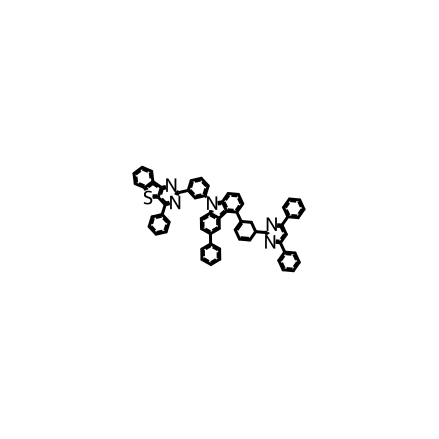 C1=CC(c2nc(-c3ccccc3)cc(-c3ccccc3)n2)CC(c2cccc3c2c2cc(-c4ccccc4)ccc2n3-c2cccc(-c3nc(-c4ccccc4)c4sc5ccccc5c4n3)c2)=C1